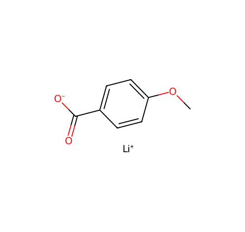 COc1ccc(C(=O)[O-])cc1.[Li+]